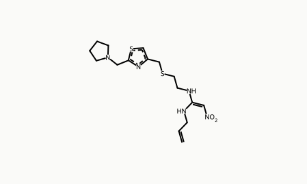 C=CCNC(=C[N+](=O)[O-])NCCSCc1csc(CN2CCCC2)n1